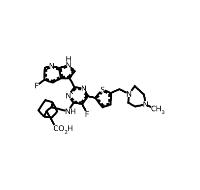 CN1CCN(Cc2ccc(-c3nc(-c4c[nH]c5ncc(F)cc45)nc(NC4C5CCC(CC5)C4C(=O)O)c3F)s2)CC1